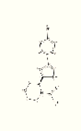 O=C(O)N1CCOC[C@H]1c1nc(-c2ccc(Br)cc2)c[nH]1